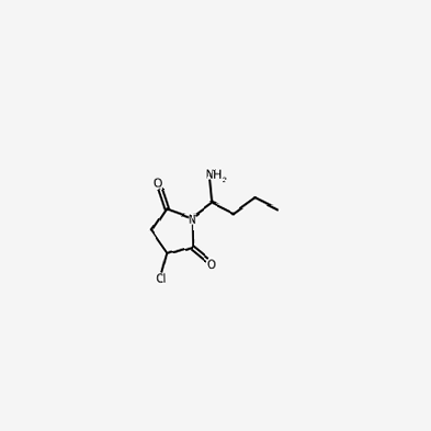 CCCC(N)N1C(=O)CC(Cl)C1=O